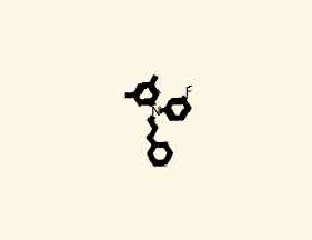 Cc1cc(C)cc(N(CCCC2CCCCC2)c2cccc(F)c2)c1